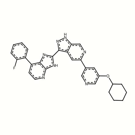 Fc1ccccc1-c1ccnc2[nH]c(-c3n[nH]c4cnc(-c5cncc(OC6CCCCC6)c5)cc34)nc12